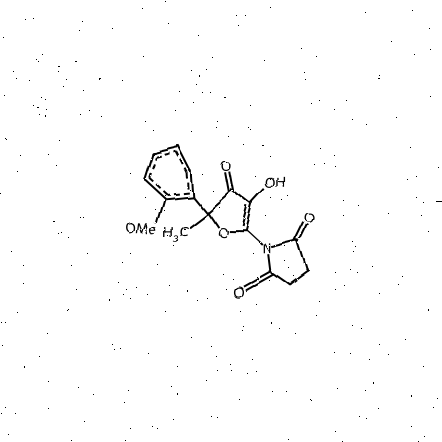 COc1ccccc1C1(C)OC(N2C(=O)CCC2=O)=C(O)C1=O